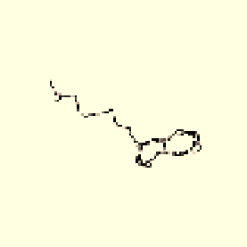 [CH2]OCCCCCc1ccc2coccc1-2